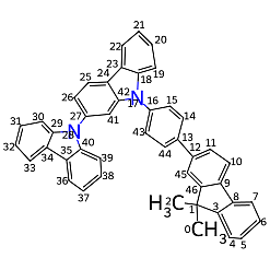 CC1(C)c2ccccc2-c2ccc(-c3ccc(-n4c5ccccc5c5ccc(-n6c7ccccc7c7ccccc76)cc54)cc3)cc21